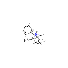 CC1(c2ccccc2)CC2CCN1CC2